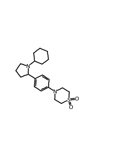 O=S1(=O)CCN(c2ccc(C3CCCN3C3CCCCC3)cc2)CC1